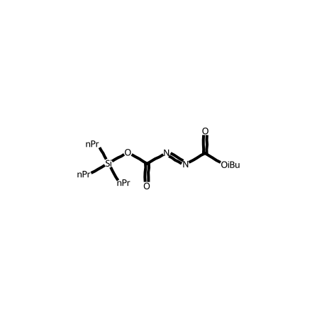 CCC[Si](CCC)(CCC)OC(=O)N=NC(=O)OCC(C)C